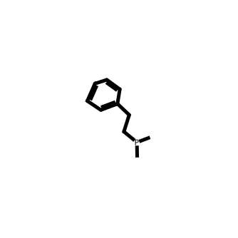 CP(C)CCc1cc[c]cc1